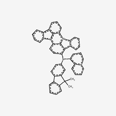 CC1(C)c2ccccc2-c2ccc(N(c3cccc4ccccc34)c3ccc4c5c3c3ccccc3n5c3cccc5c6ccccc6n4c53)cc21